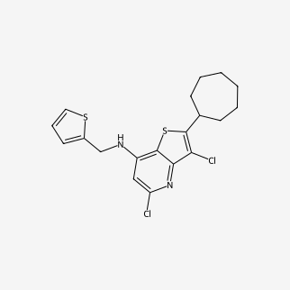 Clc1cc(NCc2cccs2)c2sc(C3CCCCCC3)c(Cl)c2n1